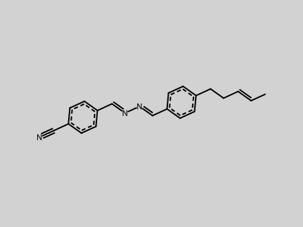 CC=CCCc1ccc(C=NN=Cc2ccc(C#N)cc2)cc1